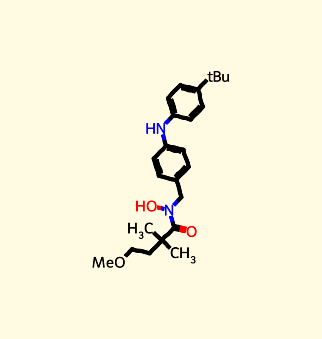 COCCC(C)(C)C(=O)N(O)Cc1ccc(Nc2ccc(C(C)(C)C)cc2)cc1